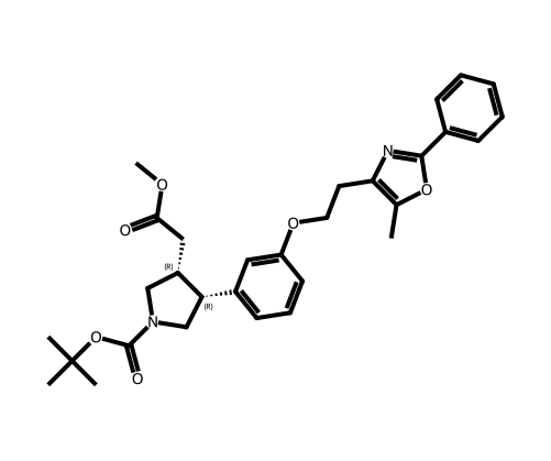 COC(=O)C[C@H]1CN(C(=O)OC(C)(C)C)C[C@H]1c1cccc(OCCc2nc(-c3ccccc3)oc2C)c1